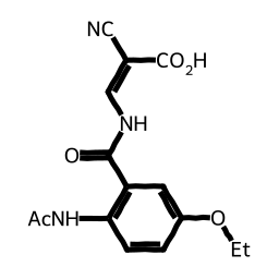 CCOc1ccc(NC(C)=O)c(C(=O)NC=C(C#N)C(=O)O)c1